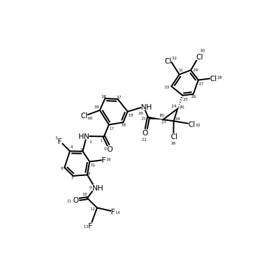 O=C(Nc1c(F)ccc(NC(=O)C(F)F)c1F)c1cc(NC(=O)[C@H]2[C@H](c3cc(Cl)c(Cl)c(Cl)c3)C2(Cl)Cl)ccc1Cl